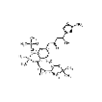 C[C@@H]([C@@H]1O[C@H]1C[C@@H]1OC[C@H](CC(=O)CC(O)c2csc([N+](=O)[O-])c2)[C@@H](O[Si](C)(C)C)[C@@H]1O[Si](C)(C)C)[C@H](C)O[Si](C)(C)C